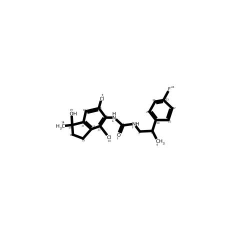 CC(CNC(=O)Nc1c(Cl)cc2c(c1Cl)CCC2(C)O)c1ccc(F)cc1